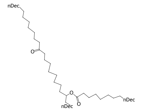 CCCCCCCCCCCCCCCCCC(=O)CCCCCCCCC(CCCCCCCCCCC)OC(=O)CCCCCCCCCCCCCCCCC